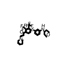 O=C(C=CN1CC=CCC1)c1ccc(Sc2cccc(NC3CCOCC3)c2)c(C(F)(F)F)c1C(F)(F)F